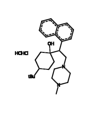 CN1CCN(CC(c2cccc3ccccc23)C2(O)CCC(C(C)(C)C)CC2)CC1.Cl.Cl